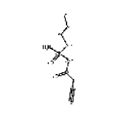 C#CCC(=O)NP(N)(=O)SCCC